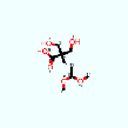 CC(CO)(CO)C(=O)O.COC(C)OC